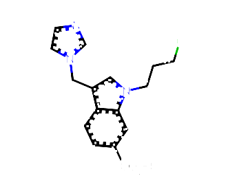 CCOC(=O)c1ccc2c(Cn3ccnc3)cn(CCCCl)c2c1